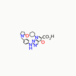 O=C(O)c1cn(C2CCCCC2)c2nc(Nc3ccc(CN4CCCC4=O)cc3)ncc2c1=O